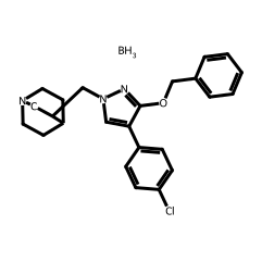 B.Clc1ccc(-c2cn(CC3CN4CCC3CC4)nc2OCc2ccccc2)cc1